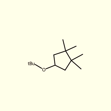 CC(C)(C)OC1CC(C)(C)C(C)(C)C1